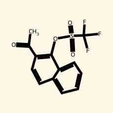 CC(=O)c1ccc2ccccc2c1OS(=O)(=O)C(F)(F)F